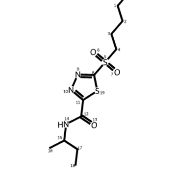 CCCCCS(=O)(=O)c1nnc(C(=O)NC(C)CC)s1